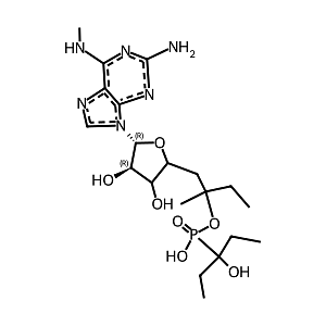 CCC(C)(CC1O[C@@H](n2cnc3c(NC)nc(N)nc32)[C@H](O)C1O)OP(=O)(O)C(O)(CC)CC